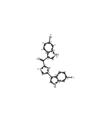 O=C(c1nc(-c2c[nH]c3cc(F)ccc23)cs1)c1c[nH]c2cc(Br)ccc12